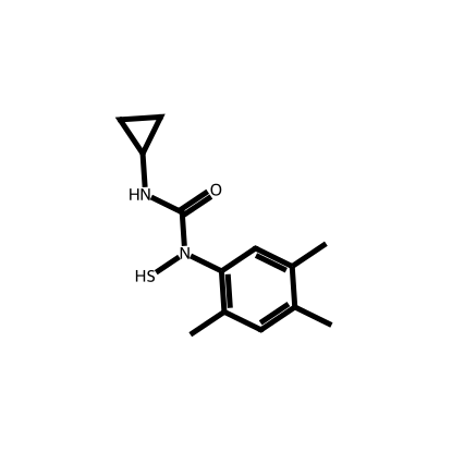 Cc1cc(C)c(N(S)C(=O)NC2CC2)cc1C